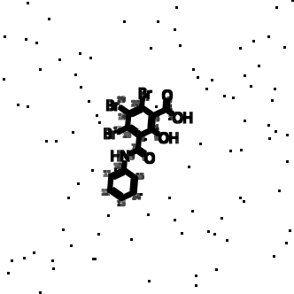 O=C(O)c1c(O)c(C(=O)Nc2ccccc2)c(Br)c(Br)c1Br